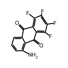 Nc1cccc2c1C(=O)c1c(F)c(F)c(F)c(F)c1C2=O